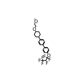 COCCOC1CCC(c2ccc(-c3ccc(OC(F)(F)C(F)C(F)(F)F)cc3)cc2)CC1